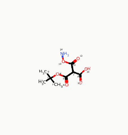 CC(C)(C)OC(=O)C(C(=O)O)C(=O)ON